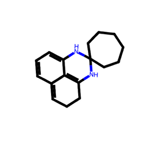 C1=c2cccc3c2=C(CC1)NC1(CCCCCC1)N3